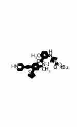 Cc1ccc(NC2CN(C(=O)OC(C)(C)C)C2)cc1C(=O)NC(C)c1ccc(C#CC2CCNCC2)c(-c2cccs2)c1